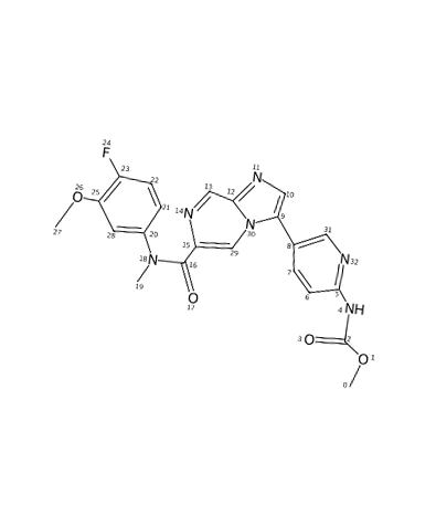 COC(=O)Nc1ccc(-c2cnc3cnc(C(=O)N(C)c4ccc(F)c(OC)c4)cn23)cn1